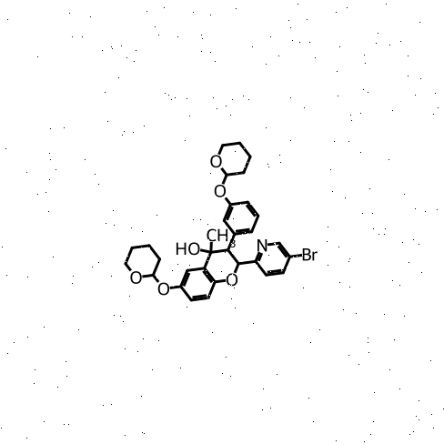 CC1(O)c2cc(OC3CCCCO3)ccc2OC(c2ccc(Br)cn2)C1c1cccc(OC2CCCCO2)c1